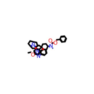 CCOc1nc2ccccc2n1C1CCC2CCC(C1)N2CCC1(c2ccccc2)CCC(N(C)C(=O)OCc2ccccc2)CC1